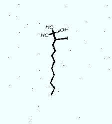 OC(O)(O)C(I)CCCCCCCCI